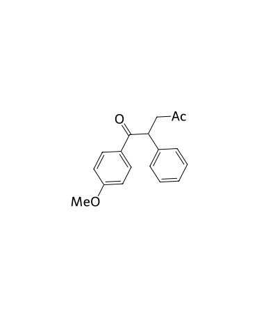 COc1ccc(C(=O)C(CC(C)=O)c2ccccc2)cc1